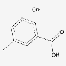 Cc1cccc(C(=O)O)c1.[Co]